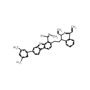 C=CC1=NC(C=C)C(CCc2ccc3c(sc4cc(-c5cc(C)cc(C)c5)ccc43)c2/C(CC)=N\C)c2ccccc21